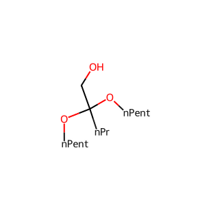 CCCCCOC(CO)(CCC)OCCCCC